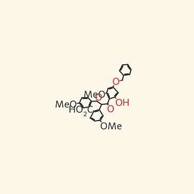 COc1ccc(C(=O)C(C(=O)c2c(O)cc(OCc3ccccc3)cc2OC)c2cc(OC)ccc2C(=O)O)cc1